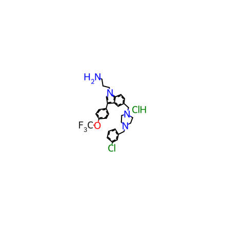 Cl.NCCCn1cc(-c2ccc(OC(F)(F)F)cc2)c2cc(CN3CCN(Cc4cccc(Cl)c4)CC3)ccc21